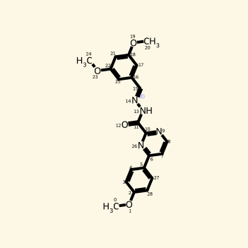 COc1ccc(-c2ccnc(C(=O)N/N=C/c3cc(OC)cc(OC)c3)n2)cc1